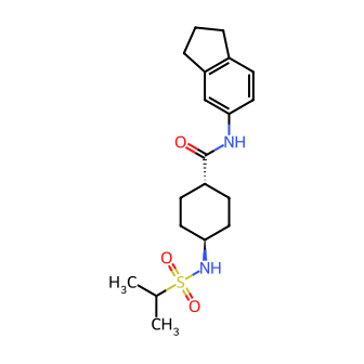 CC(C)S(=O)(=O)N[C@H]1CC[C@H](C(=O)Nc2ccc3c(c2)CCC3)CC1